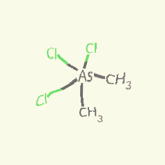 C[As](C)(Cl)(Cl)Cl